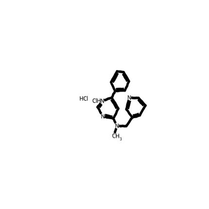 CN(Cc1cccnc1)c1cc(-c2ccccc2)ncn1.Cl.Cl